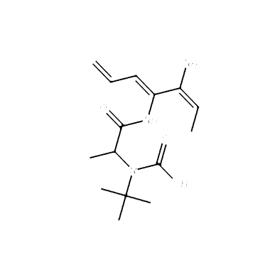 C=C/C=C(NC(=O)C(C)N(C(=O)O)C(C)(C)C)/C(N)=C\C